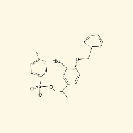 Cc1ccc(S(=O)(=O)O[CH]C(C)c2ccc(OCc3ccccc3)c(C(C)(C)C)c2)cc1